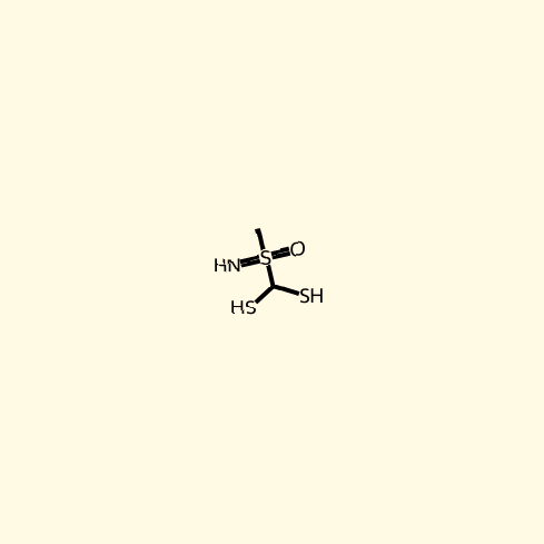 CS(=N)(=O)C(S)S